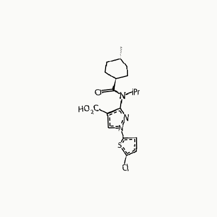 CC(C)N(c1nn(-c2ccc(Cl)s2)cc1C(=O)O)C(=O)[C@H]1CC[C@H](C)CC1